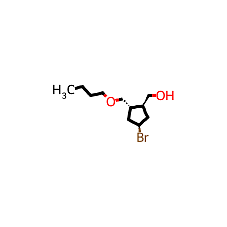 CCCCOC[C@H]1C[C@H](Br)C[C@@H]1CO